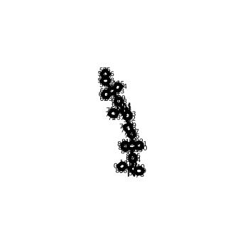 c1ccc(-c2nc3ccccc3n2-c2ccc(-c3c4ccccc4c(-c4ccc5cc(-c6ccc7nc(-c8ccc(-c9c%10ccccc%10c(-c%10ccc%11ccccc%11c%10)c%10ccccc9%10)cc8)n(-c8ccccc8)c7c6)ccc5c4)c4ccccc34)cc2)cc1